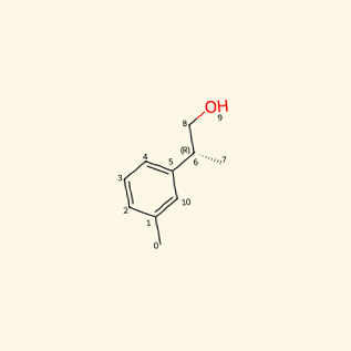 Cc1cccc([C@@H](C)CO)c1